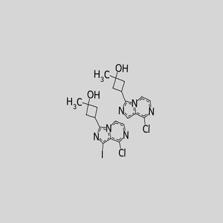 CC1(O)CC(c2nc(I)c3c(Cl)nccn23)C1.CC1(O)CC(c2ncc3c(Cl)nccn23)C1